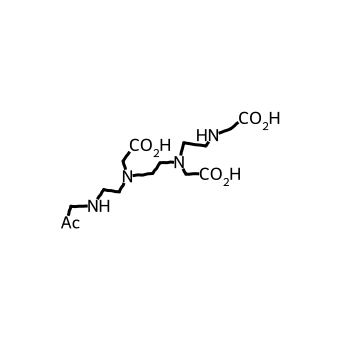 CC(=O)CNCCN(CCN(CCNCC(=O)O)CC(=O)O)CC(=O)O